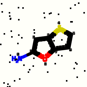 Nc1cc2sccc2o1